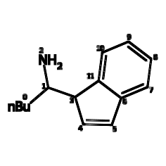 CCCCC(N)C1C=Cc2ccccc21